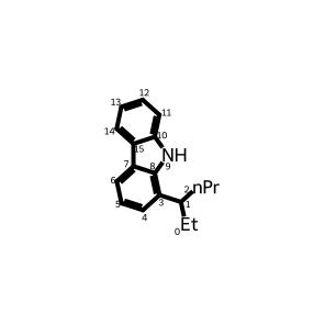 [CH2]CC(CCC)c1cccc2c1[nH]c1ccccc12